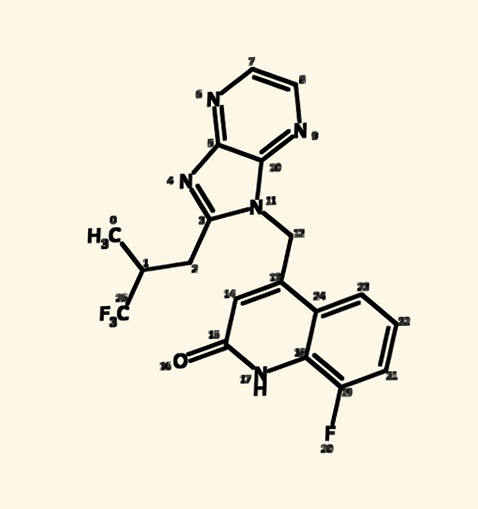 CC(Cc1nc2nccnc2n1Cc1cc(=O)[nH]c2c(F)cccc12)C(F)(F)F